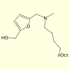 CCCCCCCCCCCCN(C)Cc1ccc(CO)o1